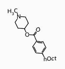 CCCCCCCCc1ccc(C(=O)OC2CCN(C)CC2)cc1